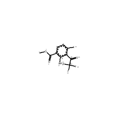 COC(=O)c1ccc(I)c(C(=O)C(F)(F)F)c1N